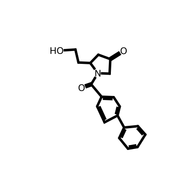 O=C1CC(CCO)N(C(=O)c2ccc(-c3ccccc3)cc2)C1